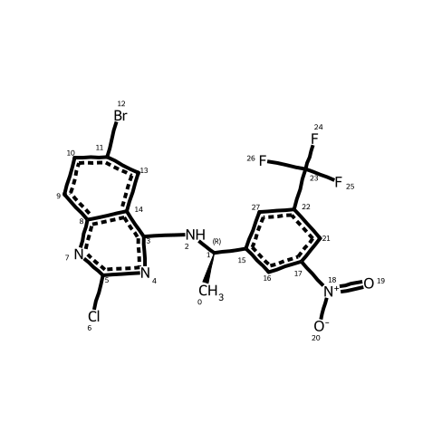 C[C@@H](Nc1nc(Cl)nc2ccc(Br)cc12)c1cc([N+](=O)[O-])cc(C(F)(F)F)c1